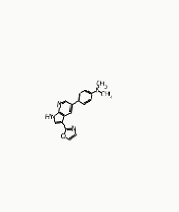 CN(C)c1ccc(-c2cnc3[nH]cc(-c4ncco4)c3c2)cc1